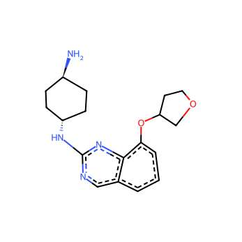 N[C@H]1CC[C@H](Nc2ncc3cccc(OC4CCOC4)c3n2)CC1